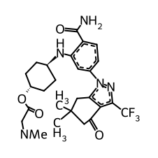 CNCC(=O)O[C@H]1CC[C@H](Nc2cc(-n3nc(C(F)(F)F)c4c3CC(C)(C)CC4=O)ccc2C(N)=O)CC1